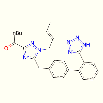 C/C=C/Cn1nc(C(=O)CCCC)nc1Cc1ccc(-c2ccccc2-c2nnn[nH]2)cc1